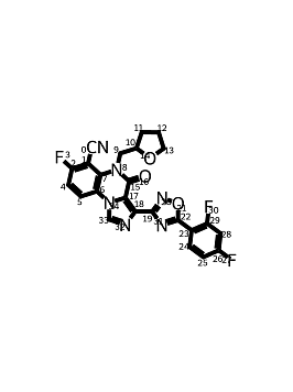 N#Cc1c(F)ccc2c1n(CC1CCCO1)c(=O)c1c(-c3noc(-c4ccc(F)cc4F)n3)ncn12